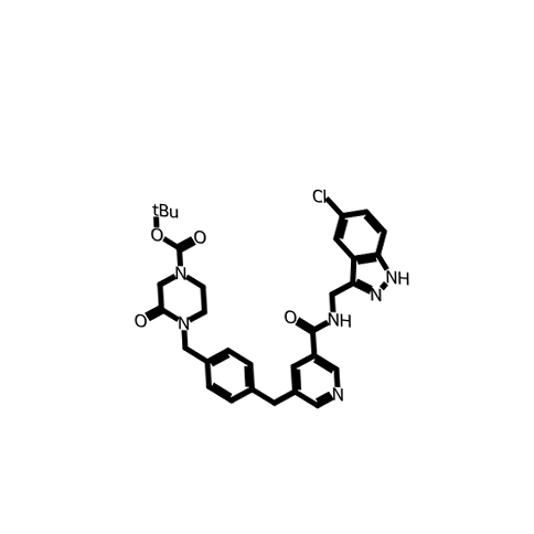 CC(C)(C)OC(=O)N1CCN(Cc2ccc(Cc3cncc(C(=O)NCc4n[nH]c5ccc(Cl)cc45)c3)cc2)C(=O)C1